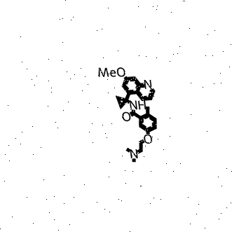 COc1cc(C2(NC(=O)c3cc(OCCN(C)C)ccc3C)CC2)c2cccnc2c1